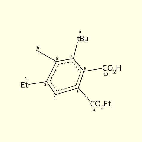 CCOC(=O)c1cc(CC)c(C)c(C(C)(C)C)c1C(=O)O